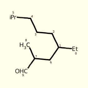 CCC(CCCC(C)C)CC(C)C=O